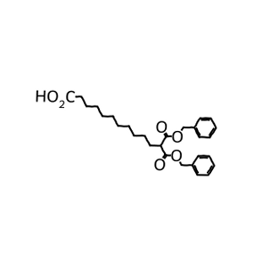 O=C(O)CCCCCCCCCCC(C(=O)OCc1ccccc1)C(=O)OCc1ccccc1